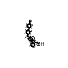 C[C@@H](c1ccc(-c2ccc(F)cc2)cc1)N1CCC(CCCO)(c2ccccc2)OC1